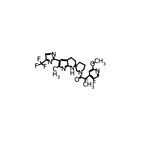 COc1cc([C@@H](C)C(=O)N2CCC[C@@]3(CCc4cc(-c5nccc(C(F)(F)F)n5)c(C)nc4N3)C2)c(F)cn1